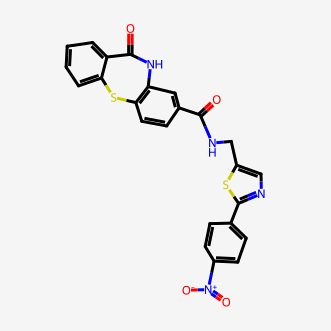 O=C(NCc1cnc(-c2ccc([N+](=O)[O-])cc2)s1)c1ccc2c(c1)NC(=O)c1ccccc1S2